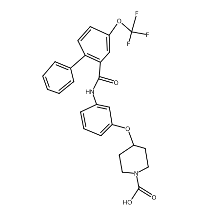 O=C(Nc1cccc(OC2CCN(C(=O)O)CC2)c1)c1cc(OC(F)(F)F)ccc1-c1ccccc1